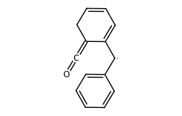 O=C=C1CC=CC=C1[CH]c1ccccc1